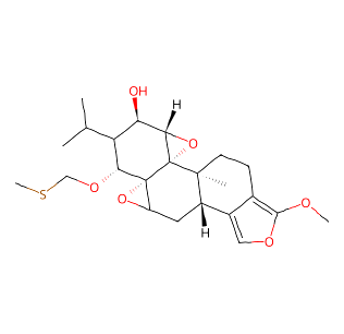 COc1occ2c1CC[C@@]1(C)[C@H]2CC2O[C@@]23[C@H](OCSC)C(C(C)C)[C@@H](O)[C@@H]2O[C@]213